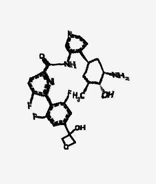 C[C@H]1C[C@@H](c2ccncc2NC(=O)c2ccc(F)c(-c3c(F)cc(C4(O)COC4)cc3F)n2)C[C@@H](N)[C@@H]1O